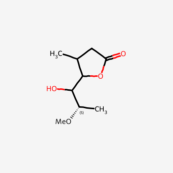 CO[C@@H](C)C(O)C1OC(=O)CC1C